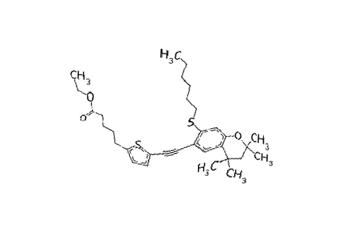 CCCCCCSc1cc2c(cc1C#Cc1ccc(CCCCC(=O)OCC)s1)C(C)(C)CC(C)(C)O2